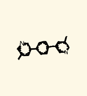 Cc1cncc(-c2ccc(-c3cncc(C)c3)cc2)c1